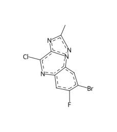 Cc1nc2c(Cl)nc3cc(F)c(Br)cc3n2n1